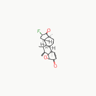 C=C1C(C)[C@@H]2[C@@H](CC[C@]3(C)C(=O)C(F)C[C@@H]23)[C@@]2(C)C=CC(=O)C3OC132